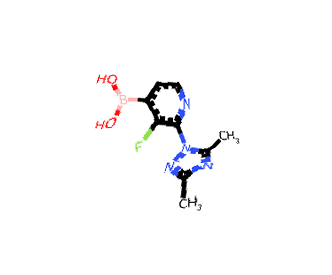 Cc1nc(C)n(-c2nccc(B(O)O)c2F)n1